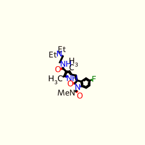 CCN(CC)CCNC(=O)c1c(C)[nH]c(/C=C2\C(=O)N(C(=O)NC)c3ccc(F)cc32)c1C